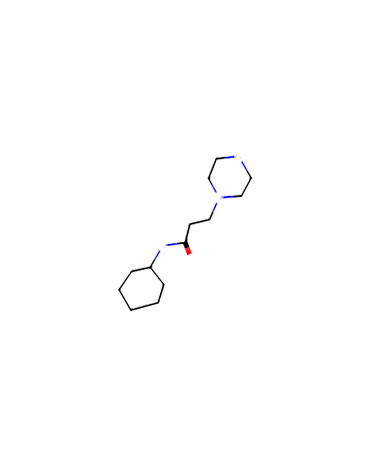 O=C(CCN1CCNCC1)NC1CCCCC1